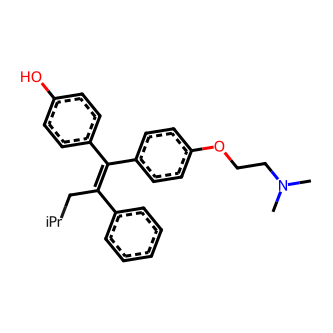 CC(C)C/C(=C(\c1ccc(O)cc1)c1ccc(OCCN(C)C)cc1)c1ccccc1